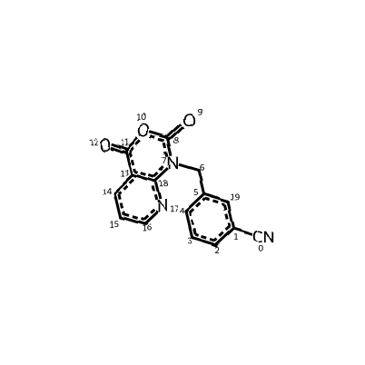 N#Cc1cccc(Cn2c(=O)oc(=O)c3cccnc32)c1